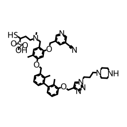 Cc1cc(CN(C)CCC(S)S(=O)(=O)O)c(OCc2cncc(C#N)c2)cc1OCc1cccc(-c2cccc(OCc3cn(CCCN4CCNCC4)nn3)c2C)c1C